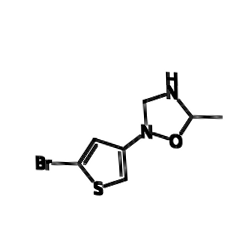 CC1NCN(c2csc(Br)c2)O1